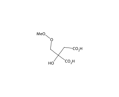 COOCC(O)(CC(=O)O)C(=O)O